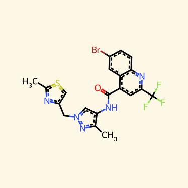 Cc1nc(Cn2cc(NC(=O)c3cc(C(F)(F)F)nc4ccc(Br)cc34)c(C)n2)cs1